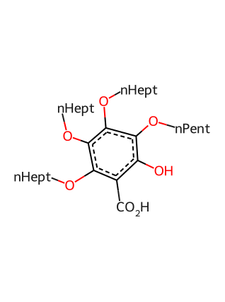 CCCCCCCOc1c(OCCCCC)c(O)c(C(=O)O)c(OCCCCCCC)c1OCCCCCCC